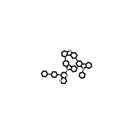 c1ccc(-c2ccc(-c3cc(-n4c5ccccc5c5cc(-c6cccc7oc8ccc(-c9ccc%10c(c9)c9ccccc9n%10-c9ccccc9)cc8c67)ccc54)nc4cccnc34)cc2)cc1